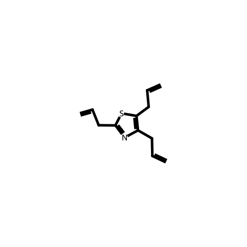 C=CCc1nc(CC=C)c(CC=C)s1